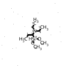 CCC(N(CC)CC)[SiH](OC)OC